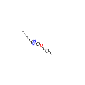 CCCCCCCCCc1cnc(-c2ccc(OCCCC3CCC(CCC)CC3)cc2)nc1